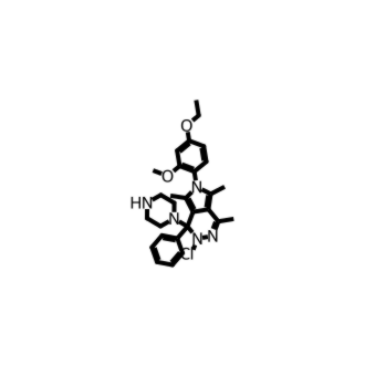 CCOc1ccc(-n2c(C)c3c(c2C)C(c2ccccc2)(N2CCNCC2)N(Cl)N=C3C)c(OC)c1